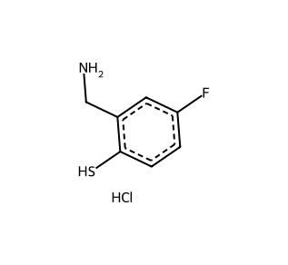 Cl.NCc1cc(F)ccc1S